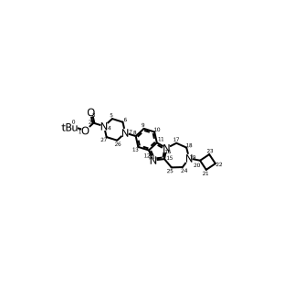 CC(C)(C)OC(=O)N1CCN(c2ccc3c(c2)nc2n3CCN(C3CCC3)CC2)CC1